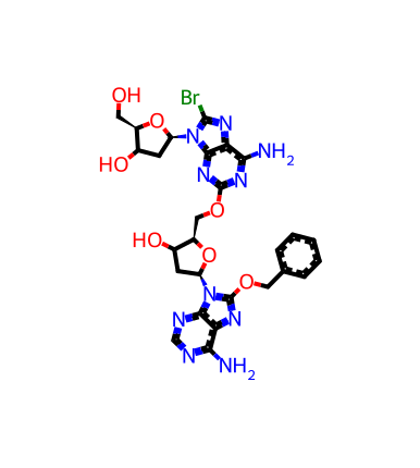 Nc1nc(OC[C@H]2O[C@@H](n3c(OCc4ccccc4)nc4c(N)ncnc43)CC2O)nc2c1nc(Br)n2[C@H]1CC(O)[C@@H](CO)O1